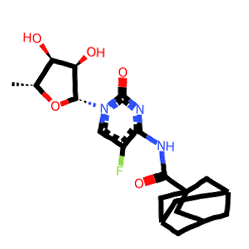 C[C@H]1O[C@@H](n2cc(F)c(NC(=O)C34CC5CC(CC(C5)C3)C4)nc2=O)[C@H](O)[C@@H]1O